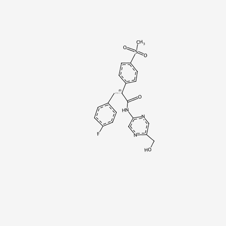 CS(=O)(=O)c1ccc([C@@H](Cc2ccc(F)cc2)C(=O)Nc2cnc(CO)cn2)cc1